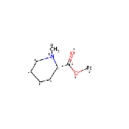 CCOC(=O)[C@@H]1CCCCN1C